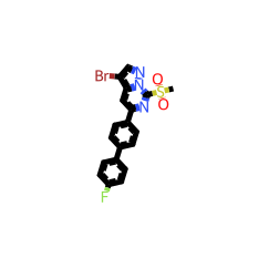 CS(=O)(=O)c1nc(-c2ccc(-c3ccc(F)cc3)cc2)cc2c(Br)cnn12